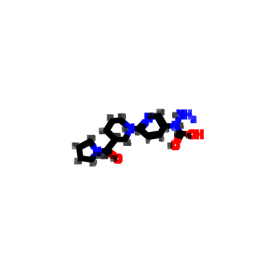 NN(C(=O)O)c1ccc(N2CCCC(C(=O)N3CCCC3)C2)nc1